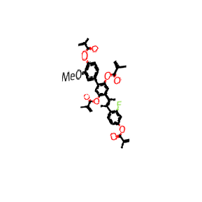 C=C(C)C(=O)Oc1ccc(/C(C)=C(\C)c2cc(OC(=O)C(=C)C)c(-c3ccc(OC(=O)C(=C)C)c(OC)c3)cc2OC(=O)C(=C)C)c(F)c1